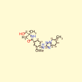 COc1cc(C(=O)NC(C)(C)CO)ccc1Nc1nc2ccc(C)cn2n1